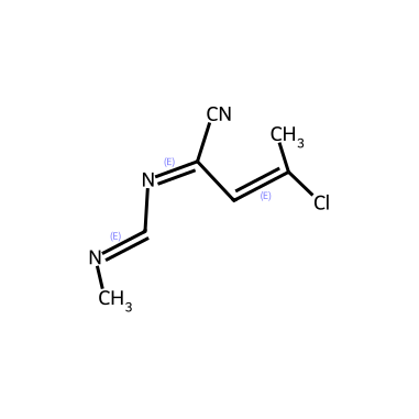 C/N=C/N=C(C#N)\C=C(/C)Cl